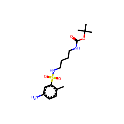 Cc1ccc(N)cc1S(=O)(=O)NCCCCNC(=O)OC(C)(C)C